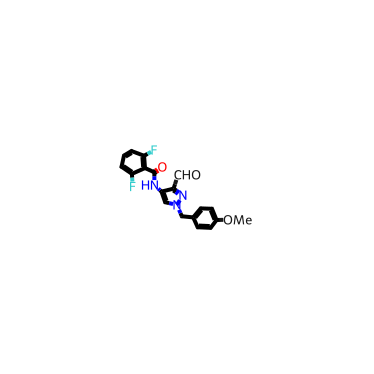 COc1ccc(Cn2cc(NC(=O)c3c(F)cccc3F)c(C=O)n2)cc1